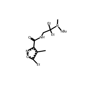 CCCCN(C)C(CC)(CC)CNC(=O)c1noc(CC)c1C